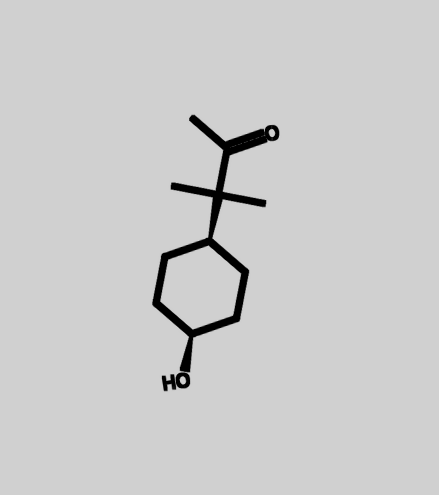 CC(=O)C(C)(C)[C@H]1CC[C@@H](O)CC1